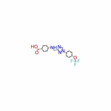 O=C(O)c1ccc(NCc2ncn(-c3ccc(OC(F)(F)F)cc3)n2)cc1